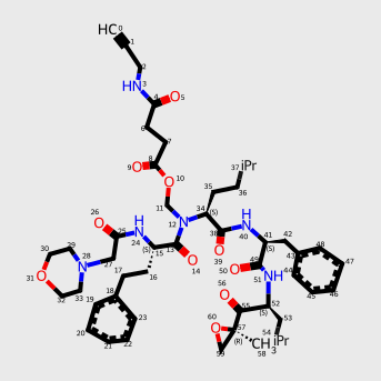 C#CCNC(=O)CCC(=O)OCN(C(=O)[C@H](CCc1ccccc1)NC(=O)CN1CCOCC1)[C@@H](CCC(C)C)C(=O)N[C@@H](Cc1ccccc1)C(=O)N[C@@H](CC(C)C)C(=O)[C@@]1(C)CO1